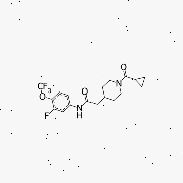 O=C(CC1CCN(C(=O)C2CC2)CC1)Nc1ccc(OC(F)(F)F)c(F)c1